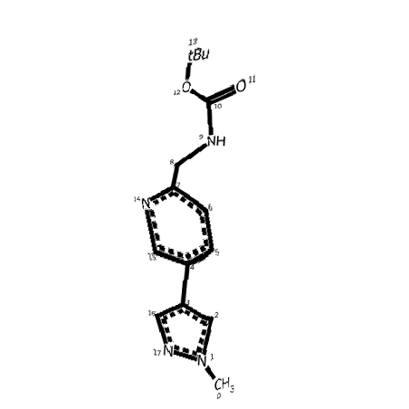 Cn1cc(-c2ccc(CNC(=O)OC(C)(C)C)nc2)cn1